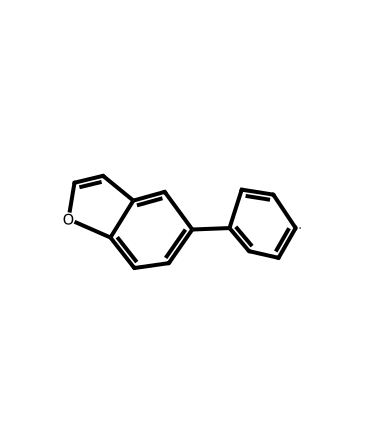 [c]1ccc(-c2ccc3occc3c2)cc1